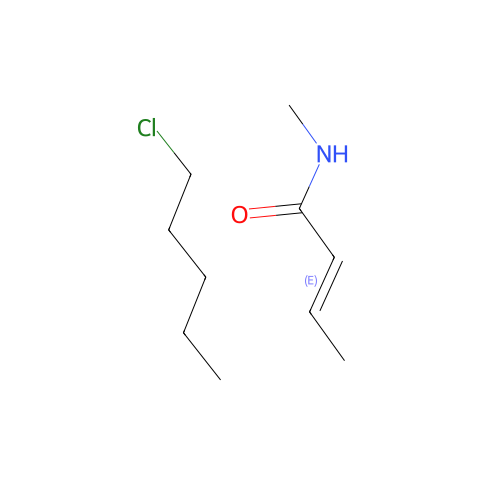 C/C=C/C(=O)NC.CCCCCCl